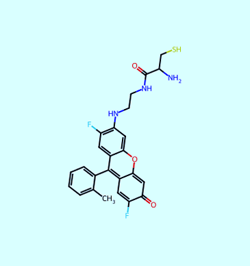 Cc1ccccc1-c1c2cc(F)c(=O)cc-2oc2cc(NCCNC(=O)C(N)CS)c(F)cc12